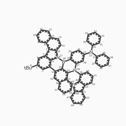 CC(C)(C)c1cc2c3c(c1)c1c4ccccc4ccc1n3B1c3ccc(N(c4ccccc4)c4ccccc4)cc3N(c3cccc4c3oc3ccccc34)c3c1c-2cc1ccccc31